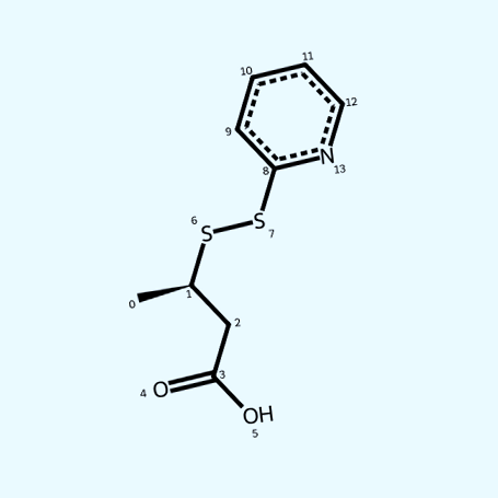 C[C@H](CC(=O)O)SSc1ccccn1